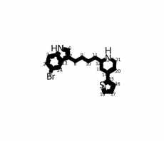 Brc1ccc2[nH]cc(CCCCC3CC(c4cccs4)=CCN3)c2c1